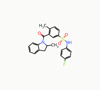 Cc1ccc(S(=O)(=O)Nc2ccc(F)cc2)cc1C(=O)N1c2ccccc2CC1C